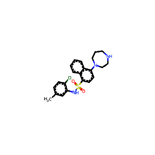 Cc1ccc(Cl)c(NS(=O)(=O)c2ccc(N3CCCNCC3)c3ccccc23)c1